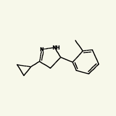 Cc1ccccc1C1CC(C2CC2)=NN1